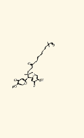 CC(C)(C=O)CCCCCCC(=O)CCC(C)(C)C(c1cc(=O)c(O)co1)c1cc(=O)c(O)co1